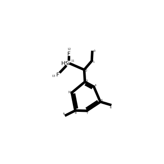 CCC(c1cc(C)cc(C)c1)[SiH](F)F